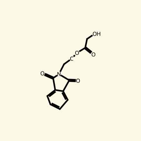 O=C(CO)OCCN1C(=O)c2ccccc2C1=O